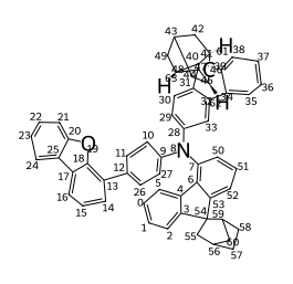 c1ccc2c(c1)-c1c(N(c3ccc(-c4cccc5c4oc4ccccc45)cc3)c3ccc4c(c3)-c3ccccc3[C@]43[C@H]4CC5C[C@@H](C4)C[C@@H]3C5)cccc1C21CC2CCC1C2